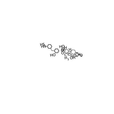 C[C@]12C=CC(=O)C=C1CC[C@@H]1[C@@H]2[C@@H](O)C[C@@]2(C)[C@H]1C[C@H]1O[C@@H](c3ccc(Cc4cccc(NS)c4)c(O)c3)O[C@]12C(=O)CO